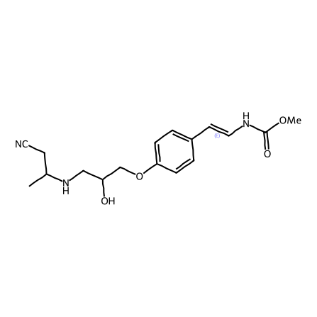 COC(=O)N/C=C/c1ccc(OCC(O)CNC(C)CC#N)cc1